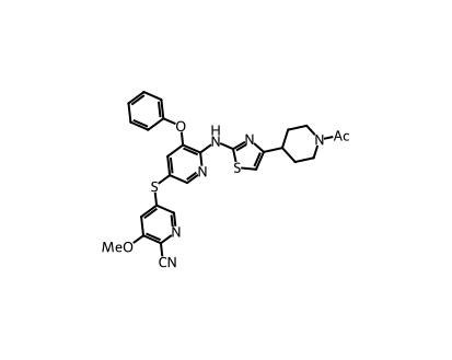 COc1cc(Sc2cnc(Nc3nc(C4CCN(C(C)=O)CC4)cs3)c(Oc3ccccc3)c2)cnc1C#N